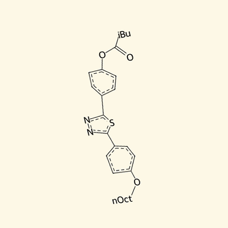 CCCCCCCCOc1ccc(-c2nnc(-c3ccc(OC(=O)C(C)CC)cc3)s2)cc1